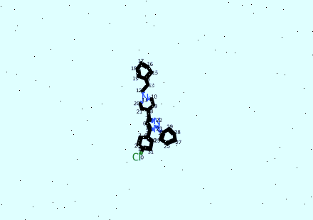 Clc1ccc(-c2cc(C3CCN(CCc4ccccc4)CC3)nn2-c2ccccc2)cc1